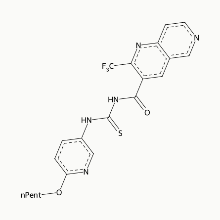 CCCCCOc1ccc(NC(=S)NC(=O)c2cc3cnccc3nc2C(F)(F)F)cn1